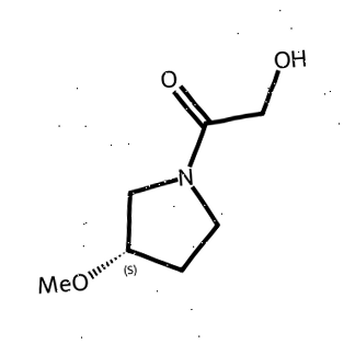 CO[C@H]1CCN(C(=O)CO)C1